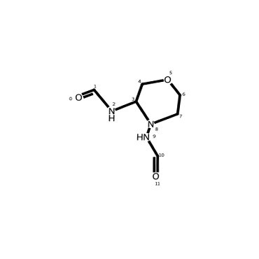 O=CNC1COCCN1NC=O